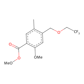 COOC(=O)c1cc(C)c(COCC(F)(F)F)cc1OC